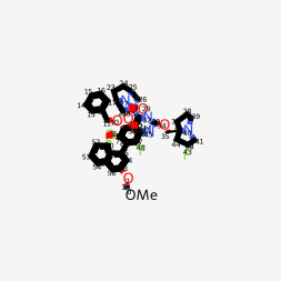 COCOc1cc(-c2c(F)c(OCc3ccccc3)c3c(N4CC5CCC(C4)N5C(=O)OC(C)(C)C)nc(OC[C@@]45CCCN4C[C@H](F)C5)nc3c2F)c2c(F)cccc2c1